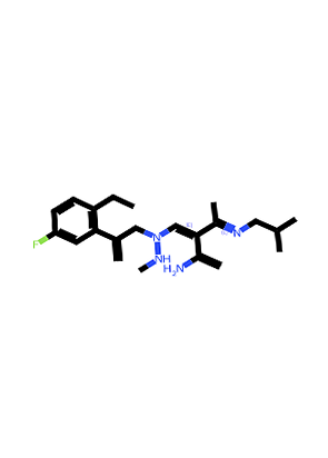 C=C(N)C(=C\N(CC(=C)c1cc(F)ccc1CC)NC)/C(C)=N/CC(C)C